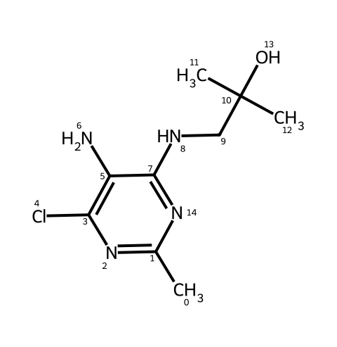 Cc1nc(Cl)c(N)c(NCC(C)(C)O)n1